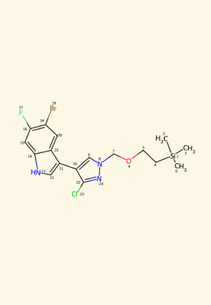 C[Si](C)(C)CCOCn1cc(-c2c[nH]c3cc(F)c(Br)cc23)c(Cl)n1